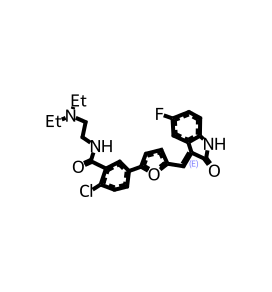 CCN(CC)CCNC(=O)c1cc(-c2ccc(/C=C3/C(=O)Nc4ccc(F)cc43)o2)ccc1Cl